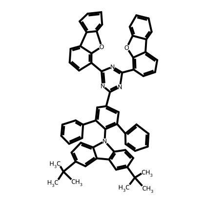 CC(C)(C)c1ccc2c(c1)c1cc(C(C)(C)C)ccc1n2-c1c(-c2ccccc2)cc(-c2nc(-c3cccc4c3oc3ccccc34)nc(-c3cccc4c3oc3ccccc34)n2)cc1-c1ccccc1